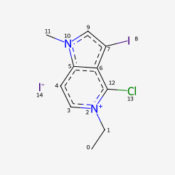 CC[n+]1ccc2c(c(I)cn2C)c1Cl.[I-]